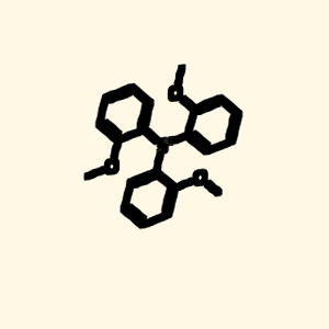 COc1ccccc1[S+](c1ccccc1OC)c1ccccc1OC